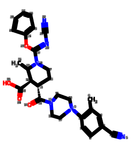 Cc1cc(C#N)ccc1N1CCN(C(=O)[C@H]2CCN(C(=NC#N)Oc3ccccc3)C(C)[C@@H]2C(=O)O)CC1